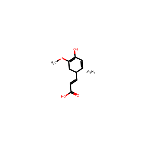 COC1=C(O)C=CC(C=CC(=O)O)C1.[MgH2]